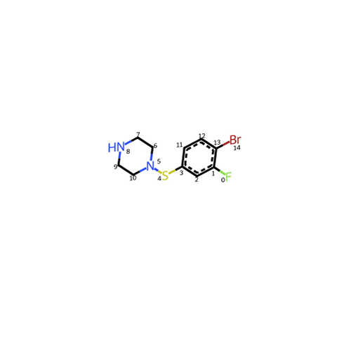 Fc1cc(SN2CCNCC2)ccc1Br